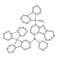 CC1(c2ccc(N(c3ccccc3)c3ccc4c(c3)C3(c5ccccc5-c5ccccc53)c3ccccc3-4)c3c2oc2ccccc23)c2ccccc2-c2ccccc21